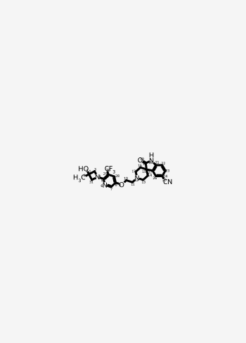 CC1(O)CN(c2ncc(OCCN3CCC4(CC3)C(=O)Nc3ccc(C#N)cc34)cc2C(F)(F)F)C1